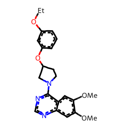 CCOc1cccc(OC2CCN(c3ncnc4cc(OC)c(OC)cc34)C2)c1